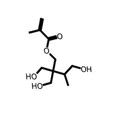 C=C(C)C(=O)OCC(CO)(CO)C(C)CO